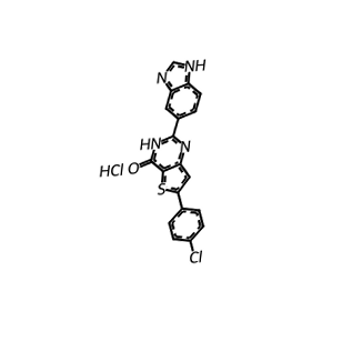 Cl.O=c1[nH]c(-c2ccc3[nH]cnc3c2)nc2cc(-c3ccc(Cl)cc3)sc12